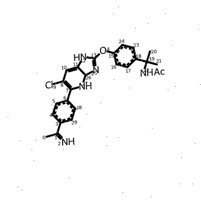 CC(=N)c1ccc(C2=C(Cl)C=C3NC(Oc4ccc(C(C)(C)NC(C)=O)cc4)=NC3N2)cc1